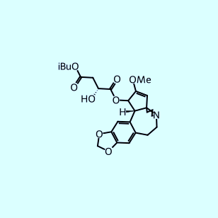 COC1=CC23CCCN2CCc2cc4c(cc2[C@@H]3C1OC(=O)[C@H](O)CC(=O)OCC(C)C)OCO4